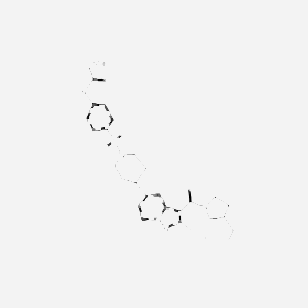 COC(=O)Nc1ccc(S(=O)(=O)N2CCC(c3ccn4nc(C(F)(F)F)c(C(=O)N5CCC(CO)C5)c4c3)CC2)cc1